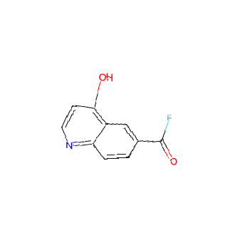 O=C(F)c1ccc2nccc(O)c2c1